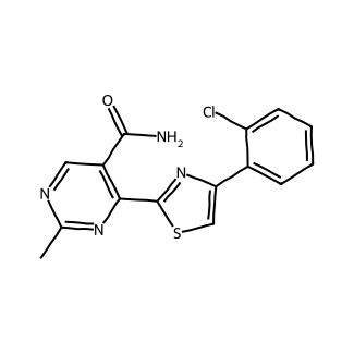 Cc1ncc(C(N)=O)c(-c2nc(-c3ccccc3Cl)cs2)n1